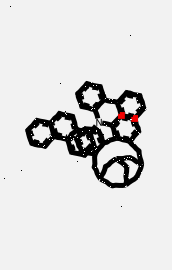 c1ccc(-c2ccccc2N(c2cccc3c2-c2ccccc2CC2CC4CC(C3)CC(C2)C4)c2cccc3c2ccc2ccccc23)cc1